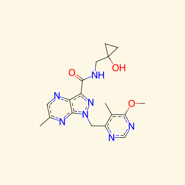 COc1ncnc(Cn2nc(C(=O)NCC3(O)CC3)c3ncc(C)nc32)c1C